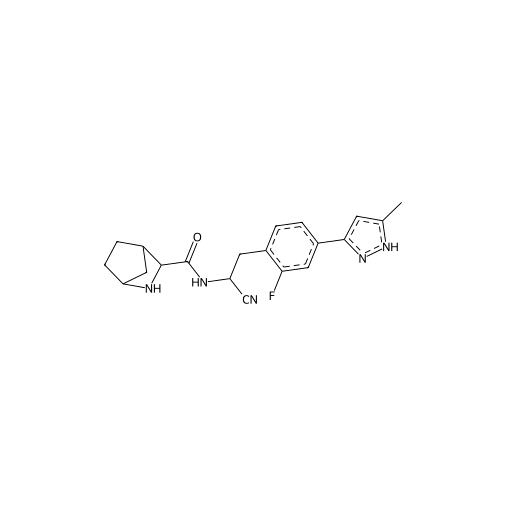 Cc1cc(-c2ccc(CC(C#N)NC(=O)C3NC4CCC3C4)c(F)c2)n[nH]1